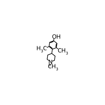 Cc1cc(O)cc(C)c1C1CCN(C)CC1